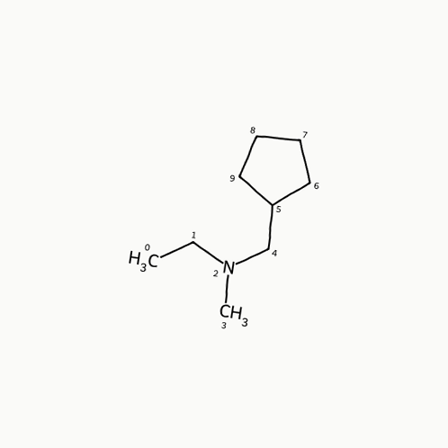 CCN(C)CC1CCCC1